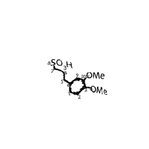 COc1ccc(CCCS(=O)(=O)O)cc1OC